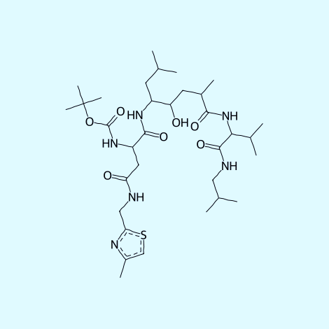 Cc1csc(CNC(=O)CC(NC(=O)OC(C)(C)C)C(=O)NC(CC(C)C)C(O)CC(C)C(=O)NC(C(=O)NCC(C)C)C(C)C)n1